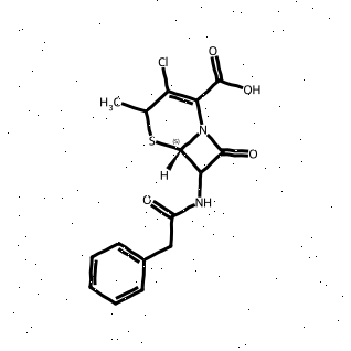 CC1S[C@H]2C(NC(=O)Cc3ccccc3)C(=O)N2C(C(=O)O)=C1Cl